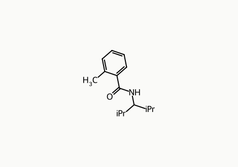 Cc1ccccc1C(=O)NC(C(C)C)C(C)C